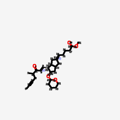 CC#CCC(C)C(=O)/C=C/[C@@H]1C2C/C(=C/CCCC(=O)OC)CC2C[C@@H]1OC1CCCCO1